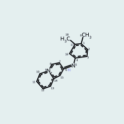 Cc1ccc(/N=c2\ccn3ccccc3c2)cc1C